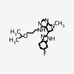 CC(C)OCCCNc1ncnc2c1c(-c1nc3ccc(F)cc3[nH]1)cn2C